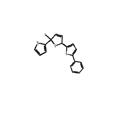 IC1(c2cccs2)C=CC(c2ccc(-c3ccccc3)s2)S1